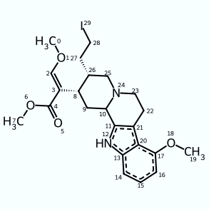 CO/C=C(/C(=O)OC)[C@H]1CC2c3[nH]c4cccc(OC)c4c3CCN2C[C@H]1CCI